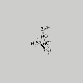 [OH-].[OH-].[OH][SnH3].[Zn+2]